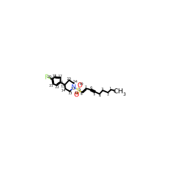 CCCCCC#CC=CS(=O)(=O)N1CCC(c2ccc(F)cc2)CC1